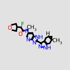 CN(C(=O)[C@H](F)C1CCOCC1)c1cnc2nc(-c3n[nH]c4c3C[C@@H]3C[C@]3(C)C4)[nH]c2c1